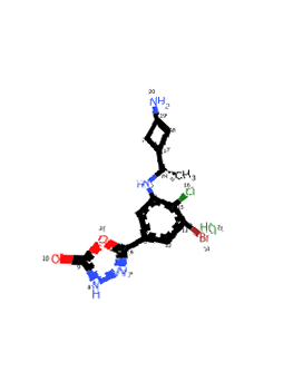 C[C@H](Nc1cc(-c2n[nH]c(=O)o2)cc(Br)c1Cl)C1CC(N)C1.Cl